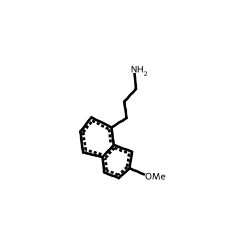 COc1ccc2cccc(CCCN)c2c1